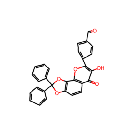 O=Cc1ccc(-c2oc3c4c(ccc3c(=O)c2O)OC(c2ccccc2)(c2ccccc2)O4)cc1